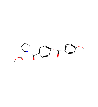 CCCCCCCCOC(=O)[C@@H]1CCCN1C(=O)c1ccc(OC(=O)c2ccc(OCCCCCCCC)cc2)cc1